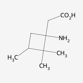 CC1CC(N)(CC(=O)O)C1(C)C